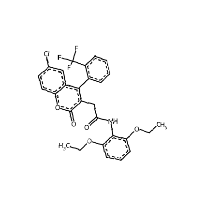 CCOc1cccc(OCC)c1NC(=O)Cc1c(-c2ccccc2C(F)(F)F)c2cc(Cl)ccc2oc1=O